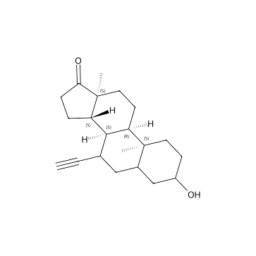 C#CC1CC2CC(O)CC[C@]2(C)[C@@H]2CC[C@]3(C)C(=O)CC[C@H]3[C@H]12